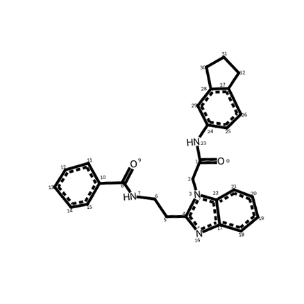 O=C(Cn1c(CCNC(=O)c2ccccc2)nc2ccccc21)Nc1ccc2c(c1)CCC2